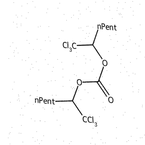 CCCCCC(OC(=O)OC(CCCCC)C(Cl)(Cl)Cl)C(Cl)(Cl)Cl